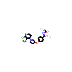 CC(=O)N[C@@H](C)c1ccc(OC2CCN(c3ccnc(Cl)c3C)C2)cc1